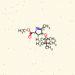 COC(=O)[C@@H]1CC(O[Si](C)(C)C(C)(C)C)C(C)=N1